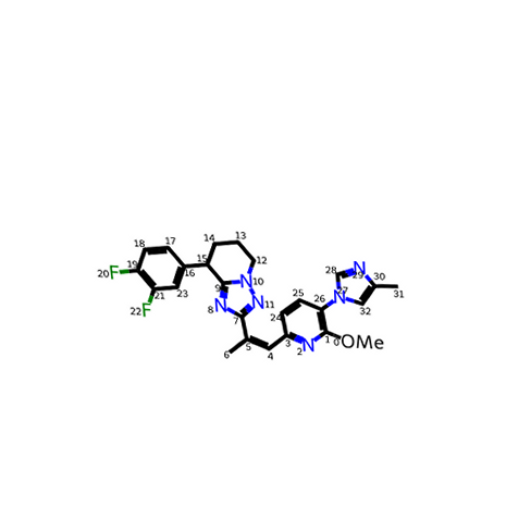 COc1nc(/C=C(/C)c2nc3n(n2)CCCC3c2ccc(F)c(F)c2)ccc1-n1cnc(C)c1